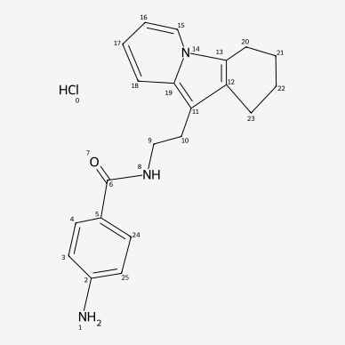 Cl.Nc1ccc(C(=O)NCCc2c3c(n4ccccc24)CCCC3)cc1